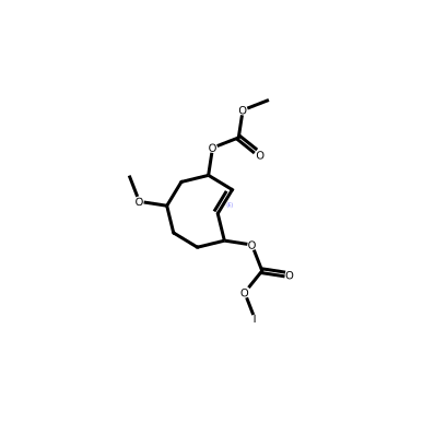 COC(=O)OC1/C=C/C(OC(=O)OI)CCC(OC)C1